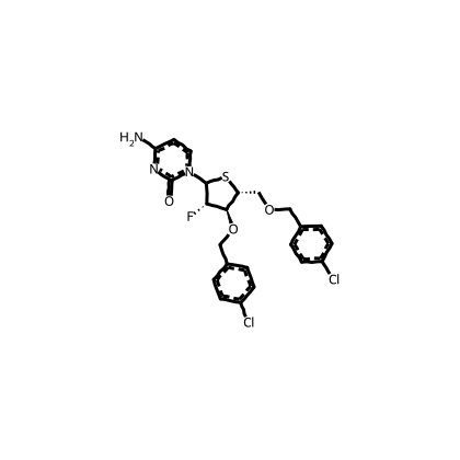 Nc1ccn(C2S[C@H](COCc3ccc(Cl)cc3)[C@@H](OCc3ccc(Cl)cc3)[C@@H]2F)c(=O)n1